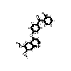 COc1cc2nccc(Oc3ccc(C(=O)c4ccccc4C)cc3)c2cc1OC